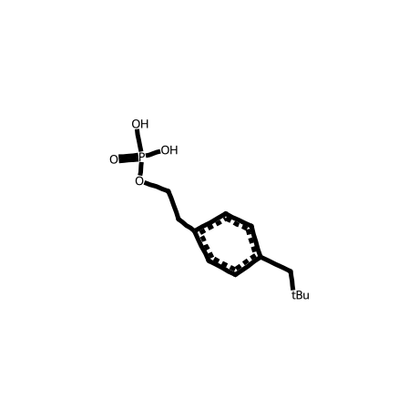 CC(C)(C)Cc1ccc(CCOP(=O)(O)O)cc1